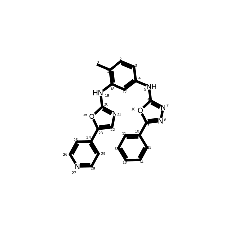 Cc1ccc(Nc2nnc(-c3ccccc3)o2)cc1Nc1ncc(-c2ccncc2)o1